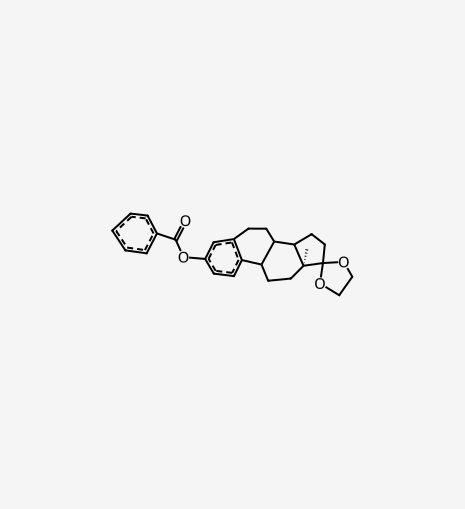 C[C@]12CCC3c4ccc(OC(=O)c5ccccc5)cc4CCC3C1CCC21OCCO1